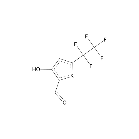 O=Cc1sc(C(F)(F)C(F)(F)F)cc1O